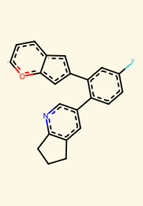 Fc1ccc(-c2cnc3c(c2)CCC3)c(-c2cc3cc[c]oc-3c2)c1